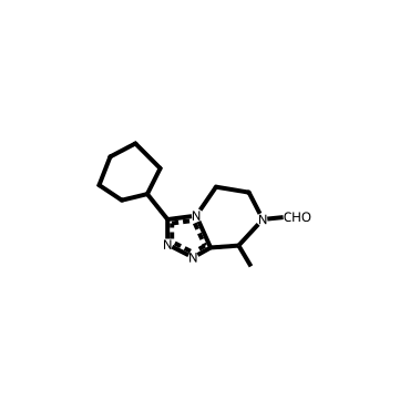 CC1c2nnc(C3CCCCC3)n2CCN1C=O